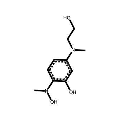 CN(O)c1ccc(N(C)CCO)cc1O